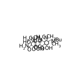 CCC(C)N(C)Cc1cc(O)c2c(c1N(C)C)C[C@H]1C[C@H]3[C@H](N(C)C)C(O)=C(C(N)=O)C(=O)[C@@]3(O)C(O)=C1C2=O